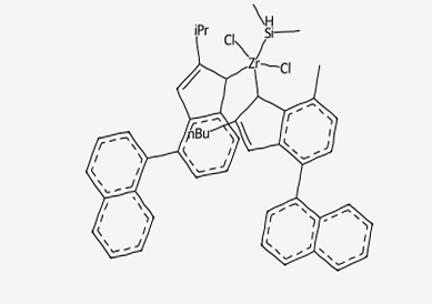 CCCCC1=Cc2c(-c3cccc4ccccc34)ccc(C)c2[CH]1[Zr]([Cl])([Cl])([CH]1C(C(C)C)=Cc2c(-c3cccc4ccccc34)cccc21)[SiH](C)C